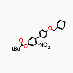 CC(C)(C)C(=O)Oc1ccc(-c2ccc(OCc3ccccc3)cc2)c([N+](=O)[O-])c1